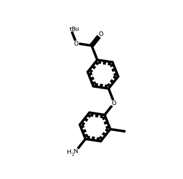 Cc1cc(N)ccc1Oc1ccc(C(=O)OC(C)(C)C)cc1